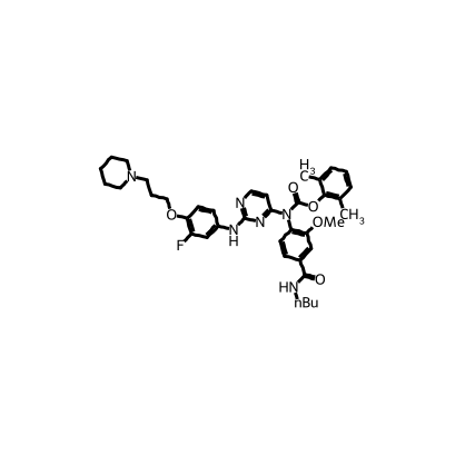 CCCCNC(=O)c1ccc(N(C(=O)Oc2c(C)cccc2C)c2ccnc(Nc3ccc(OCCCN4CCCCC4)c(F)c3)n2)c(OC)c1